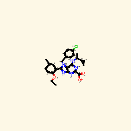 CCOc1ccc(C)cc1-c1nc2nc(C(=O)O)nc(NC(C)C3CC3)c2n1Cc1ccc(Cl)cc1